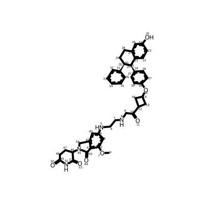 COc1cc(NCCNCC(=O)C2CC(Oc3ccc([C@@H]4c5ccc(O)cc5CC[C@@H]4c4ccccc4)cc3)C2)cc2c1C(=O)N(C1CCC(=O)NC1=O)C2